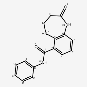 O=C1CCNc2c(cccc2C(=O)Nc2ccccc2)N1